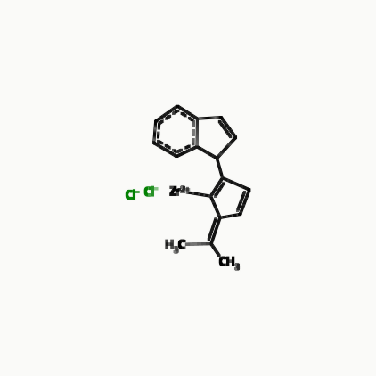 CC(C)=C1C=CC(C2C=Cc3ccccc32)=[C]1[Zr+2].[Cl-].[Cl-]